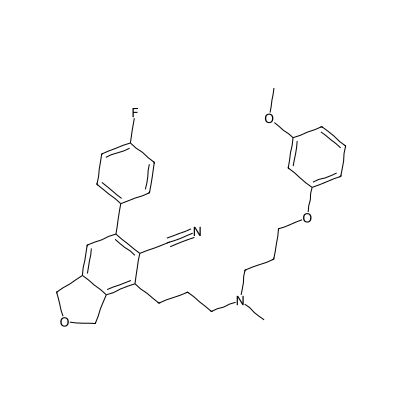 COc1cccc(OCCCN(C)CCCc2c(C#N)c(-c3ccc(F)cc3)cc3c2COC3)c1